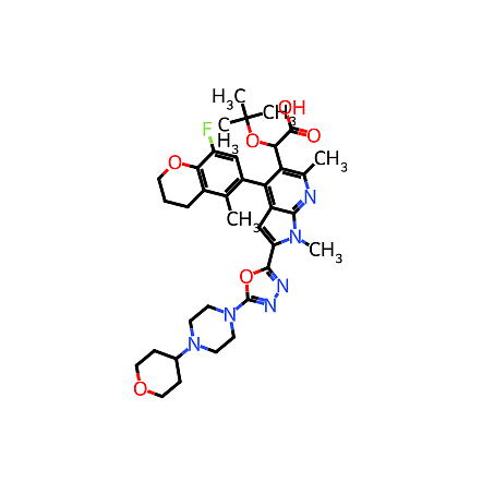 Cc1nc2c(cc(-c3nnc(N4CCN(C5CCOCC5)CC4)o3)n2C)c(-c2cc(F)c3c(c2C)CCCO3)c1C(OC(C)(C)C)C(=O)O